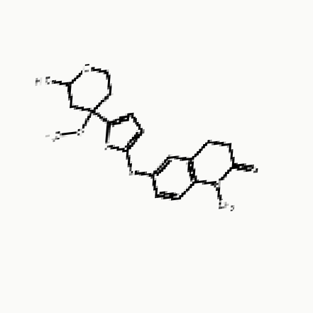 COC1(c2ccc(Sc3ccc4c(c3)CCC(=S)N4C)s2)CCOC(C)C1